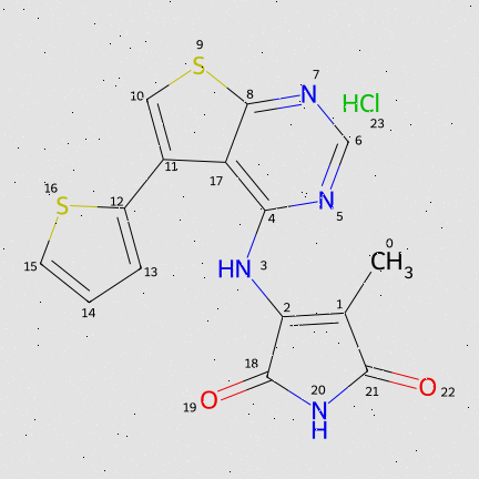 CC1=C(Nc2ncnc3scc(-c4cccs4)c23)C(=O)NC1=O.Cl